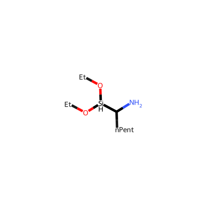 CCCCCC(N)[SiH](OCC)OCC